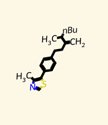 C=C(CCc1ccc(-c2scnc2C)cc1)C(C)CCCC